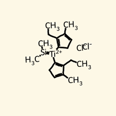 CCC1=[C]([Ti+2]([C]2=C(CC)C(C)=CC2)=[Si](C)C)CC=C1C.[Cl-].[Cl-]